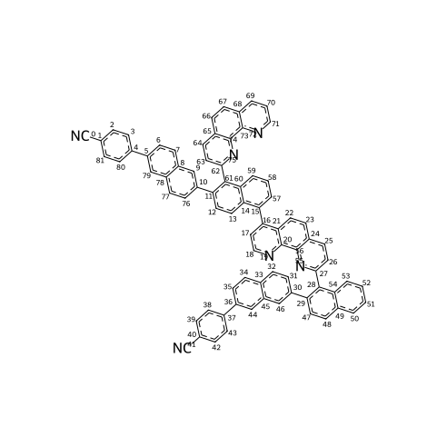 N#Cc1ccc(-c2ccc3cc(-c4ccc5c(-c6ccnc7c6ccc6ccc(-c8c(-c9ccc%10ccc(-c%11ccc(C#N)cc%11)cc%10c9)ccc9ccccc89)nc67)cccc5c4-c4ccc5ccc6cccnc6c5n4)ccc3c2)cc1